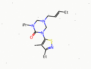 CCC=CCN1CN(c2snc(CC)c2C)C(=O)N(C(C)C)C1